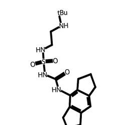 CC(C)(C)NCCNS(=O)(=O)NC(=O)Nc1c2c(cc3c1CCC3)CCC2